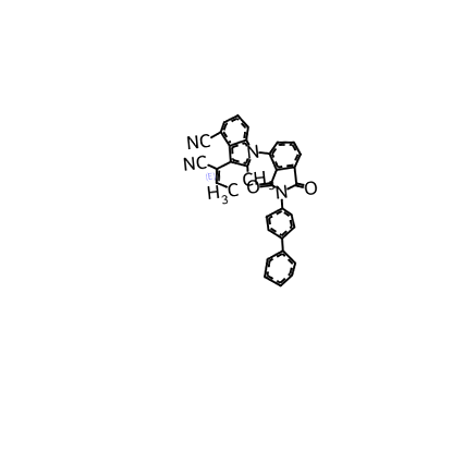 C/C=C(/C#N)c1c(C)n(-c2cccc3c2C(=O)N(c2ccc(-c4ccccc4)cc2)C3=O)c2cccc(C#N)c12